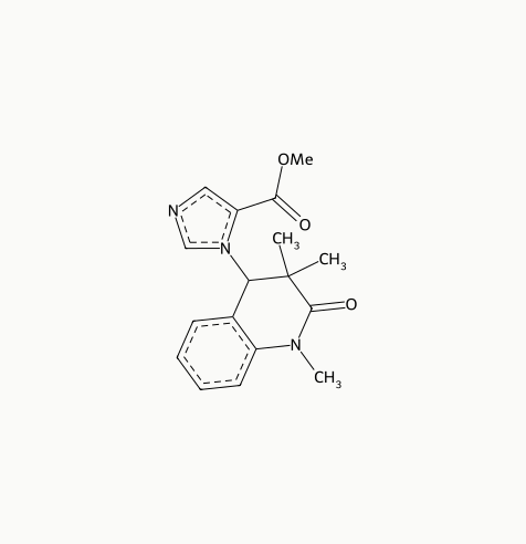 COC(=O)c1cncn1C1c2ccccc2N(C)C(=O)C1(C)C